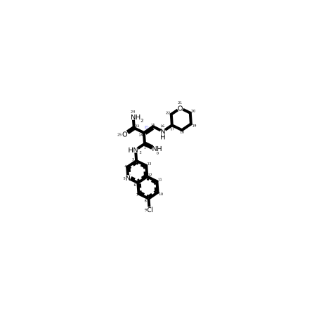 N=C(Nc1cnc2cc(Cl)ccc2c1)/C(=C\NC1CCCOC1)C(N)=O